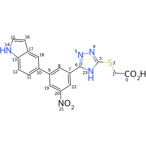 O=C(O)CSc1nnc(-c2cc(-c3ccc4[nH]ccc4c3)cc([N+](=O)[O-])c2)[nH]1